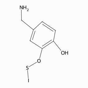 NCc1ccc(O)c(OSI)c1